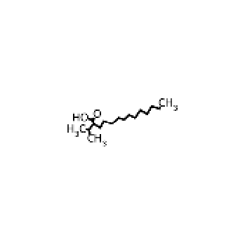 CCCCCCCCCCCCC(C(=O)O)C(C)C